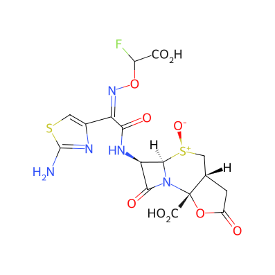 Nc1nc(/C(=N/OC(F)C(=O)O)C(=O)N[C@@H]2C(=O)N3[C@@H]2[S@@+]([O-])C[C@@H]2CC(=O)O[C@@]23C(=O)O)cs1